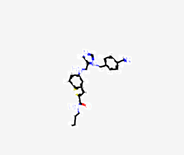 CCCCNC(=O)c1cc2cc(NCc3cncn3Cc3ccc(C#N)cc3)ccc2s1